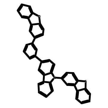 c1cc(-c2ccc3oc4ccccc4c3c2)cc(-c2ccc3c(c2)c2ccccc2n3-c2ccc3sc4ccccc4c3c2)c1